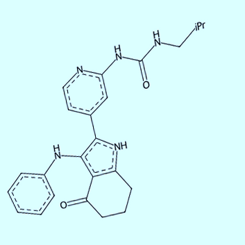 CC(C)CNC(=O)Nc1cc(-c2[nH]c3c(c2Nc2ccccc2)C(=O)CCC3)ccn1